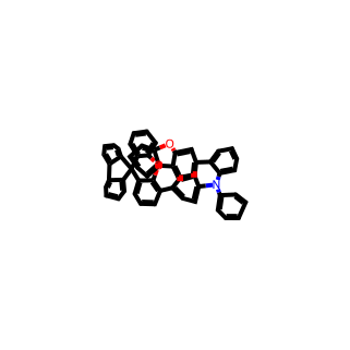 c1ccc(N(c2ccc(-c3cccc4c3Oc3ccccc3C43c4ccccc4-c4ccccc43)cc2)c2ccccc2-c2ccc3c(c2)oc2ccccc23)cc1